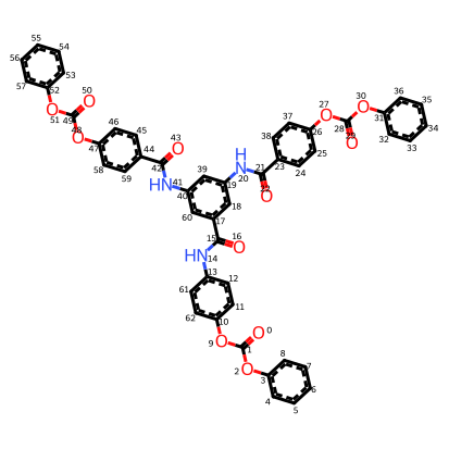 O=C(Oc1ccccc1)Oc1ccc(NC(=O)c2cc(NC(=O)c3ccc(OC(=O)Oc4ccccc4)cc3)cc(NC(=O)c3ccc(OC(=O)Oc4ccccc4)cc3)c2)cc1